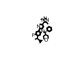 Cc1nnn(C)c1-c1cnc2c3cc(F)c(C(C)C4CC4)cc3n([C@H](c3ccccc3)C3CCOCC3)c2c1